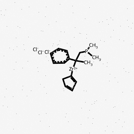 CP(C)C[C](C)([Zr+3][C]1=CC=CC1)c1ccccc1.[Cl-].[Cl-].[Cl-]